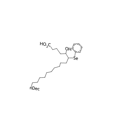 CCCCCCCCCCCCCCCCCCCCC([Se]c1ccccc1)C(O)CCCC(=O)O